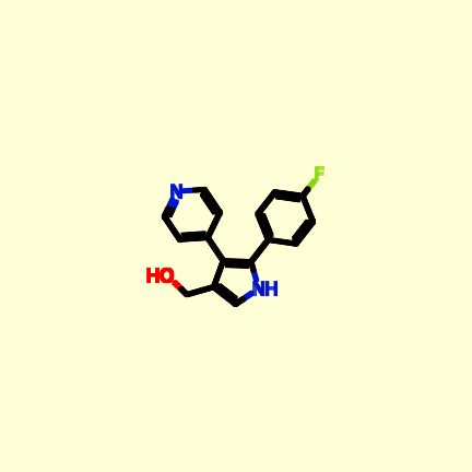 OCc1c[nH]c(-c2ccc(F)cc2)c1-c1ccncc1